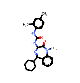 Cc1ccc(NC(=O)NC2N=C(C3CCCCC3)c3ccccc3N(C)C2=O)c(C)c1